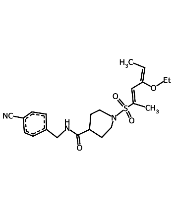 C/C=C(\C=C(/C)S(=O)(=O)N1CCC(C(=O)NCc2ccc(C#N)cc2)CC1)OCC